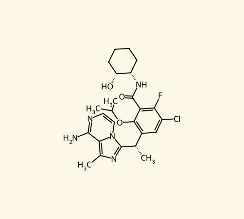 Cc1nc([C@@H](C)c2cc(Cl)c(F)c(C(=O)N[C@H]3CCCC[C@H]3O)c2OC(C)C)n2ccnc(N)c12